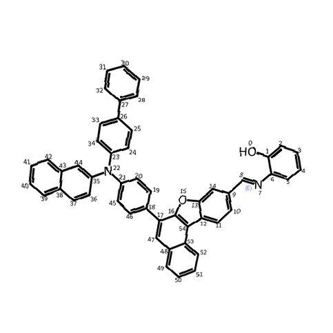 Oc1ccccc1/N=C/c1ccc2c(c1)oc1c(-c3ccc(N(c4ccc(-c5ccccc5)cc4)c4ccc5ccccc5c4)cc3)cc3ccccc3c12